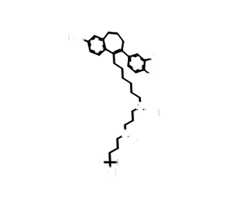 CN(CCCCCCC1=C(c2ccc(F)c(F)c2)CCCc2cc(O)ccc21)CCC[S+]([O-])CCCC(F)(F)C(F)(F)F